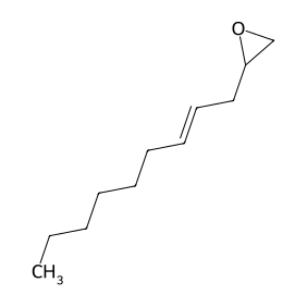 CCCCCCC=CCC1CO1